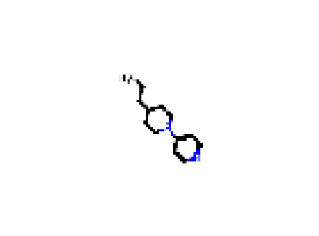 [CH2]CCC1CCN(c2ccncc2)CC1